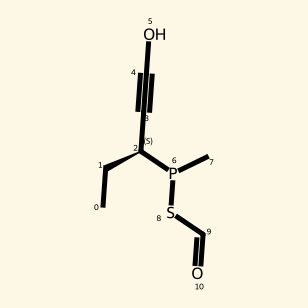 CC[C@@H](C#CO)P(C)SC=O